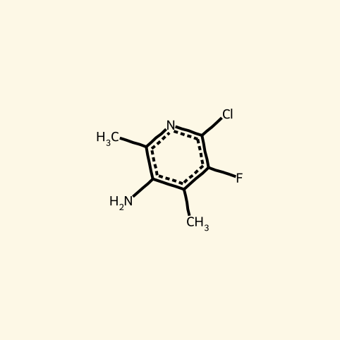 Cc1nc(Cl)c(F)c(C)c1N